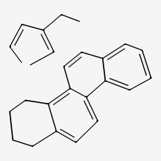 OCc1ccoc1.c1ccc2c(c1)ccc1c3c(ccc12)CCCC3